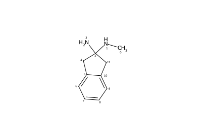 CNC1(N)Cc2ccccc2C1